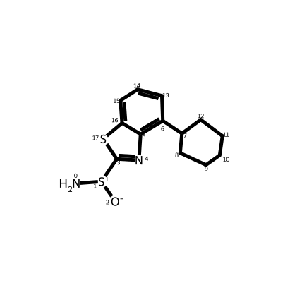 N[S+]([O-])c1nc2c(C3CCCCC3)cccc2s1